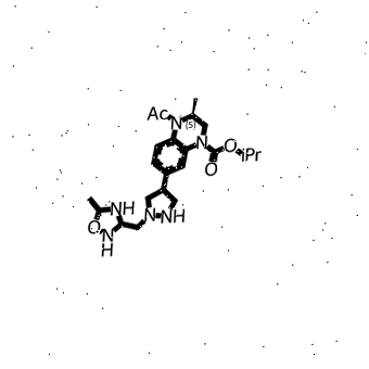 CC(=O)N1c2ccc(C3CNN(CC4NOC(C)N4)C3)cc2N(C(=O)OC(C)C)C[C@@H]1C